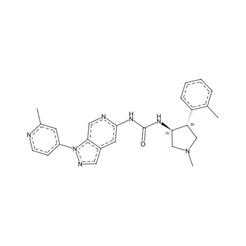 Cc1cc(-n2ncc3cc(NC(=O)N[C@@H]4CN(C)C[C@H]4c4ccccc4C)ncc32)ccn1